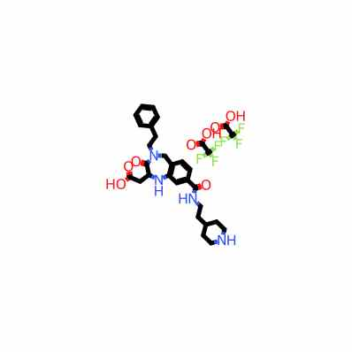 O=C(O)C(F)(F)F.O=C(O)C(F)(F)F.O=C(O)CC1Nc2cc(C(=O)NCCC3CCNCC3)ccc2CN(CCc2ccccc2)C1=O